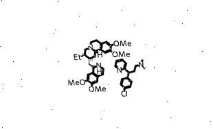 CC[C@H]1CN2CCc3cc(OC)c(OC)cc3[C@@H]2C[C@@H]1C[C@H]1NCCc2cc(OC)c(OC)cc21.CN(C)CCC(c1ccc(Cl)cc1)c1ccccn1